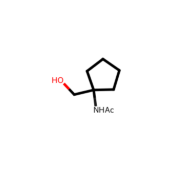 CC(=O)NC1(CO)CCCC1